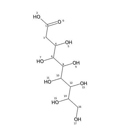 O=C(O)CC(O)C(O)C(O)C(O)C(O)C(O)CO